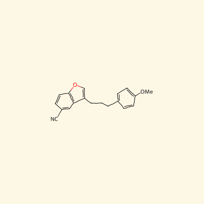 COc1ccc(CCCc2coc3ccc(C#N)cc23)cc1